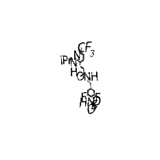 CC(C)Nc1nc(C(F)(F)F)ccc1C=CC(=O)NCCc1cc(F)c(NS(C)(=O)=O)c(F)c1